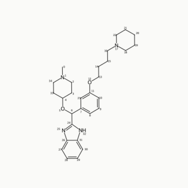 CN1CCC(OC(c2cccc(OCCCCN3CCCCC3)c2)c2nc3ccccc3[nH]2)CC1